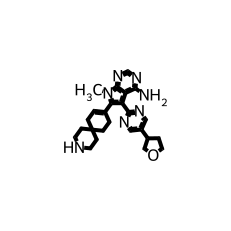 Cn1c(C2=CCC3(CCNCC3)CC2)c(-c2ncc(C3CCOC3)cn2)c2c(N)ncnc21